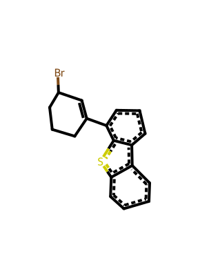 BrC1C=C(c2cccc3c2sc2ccccc23)CCC1